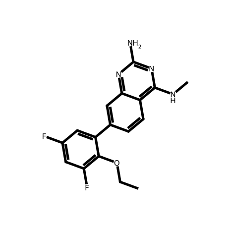 CCOc1c(F)cc(F)cc1-c1ccc2c(NC)nc(N)nc2c1